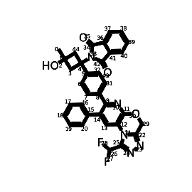 CC1(O)CC(c2ccc(-c3nc4c(cc3-c3ccccc3)-n3c(nnc3C(F)F)CO4)cc2)(N2C(=O)c3ccccc3C2=O)C1